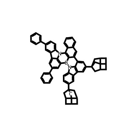 c1ccc(-c2ccc3c(c2)c2cc(-c4ccccc4)cc4c2n3-c2c3c(cc5ccccc25)-c2cc(C56CC7CC8CC(C5)C87C6)cc5c6cc(C78CC9CC%10CC(C7)C%109C8)ccc6n(c25)B34)cc1